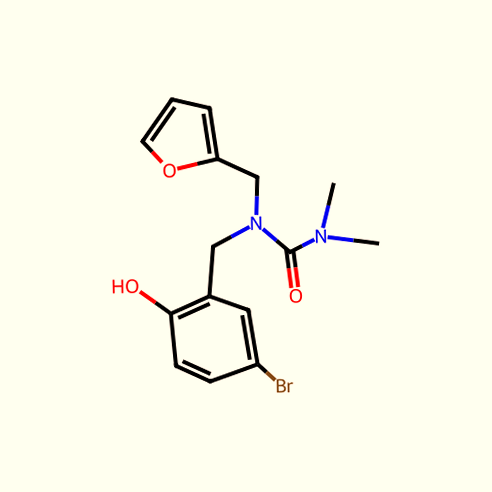 CN(C)C(=O)N(Cc1ccco1)Cc1cc(Br)ccc1O